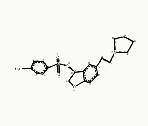 Cc1ccc(S(=O)(=O)O[C@@H]2COc3ccc(CCN4CCCC4)cc32)cc1